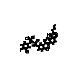 C=CCC(=O)Nc1c(F)ccc(NC(=O)c2cc(NC(=O)[C@H]3[C@H](c4ccc(F)c(Cl)c4)C3(Cl)Cl)ccc2Cl)c1F